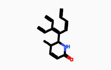 C=C/C=C\C(=C(C=C)C=C)C1NC(=O)C=CC1C